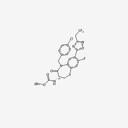 CC(C)(C)OC(=O)N[C@H]1CSc2cc(F)c(-c3nc(CC(F)(F)F)no3)cc2N(Cc2ccc(Cl)cc2)C1=O